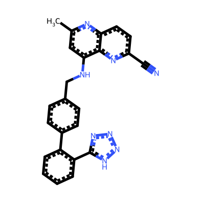 Cc1cc(NCc2ccc(-c3ccccc3-c3nnn[nH]3)cc2)c2nc(C#N)ccc2n1